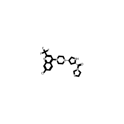 O=C([C@@H]1C[C@H](N2CCN(c3cc(C(F)(F)F)nc4cc(Cl)ccc34)CC2)CN1)N1CCSC1